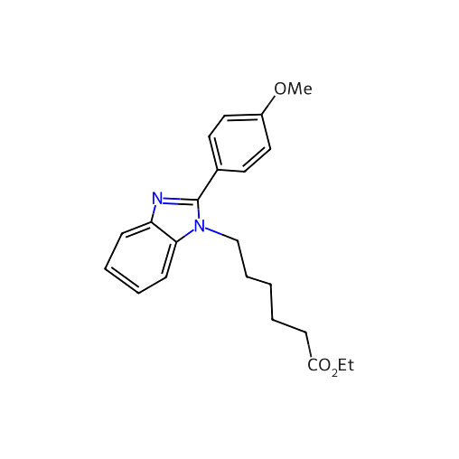 CCOC(=O)CCCCCn1c(-c2ccc(OC)cc2)nc2ccccc21